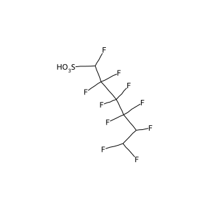 O=S(=O)(O)C(F)C(F)(F)C(F)(F)C(F)(F)C(F)C(F)F